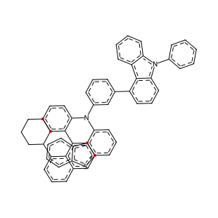 c1ccc(-n2c3ccccc3c3c(-c4cccc(N(c5ccccc5-c5cccc6cccc(C7CCCCC7)c56)c5cccc6sc7ccccc7c56)c4)cccc32)cc1